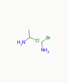 CC(N)Cl.NCBr